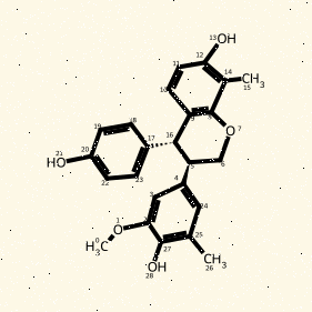 COc1cc([C@@H]2COc3c(ccc(O)c3C)[C@H]2c2ccc(O)cc2)cc(C)c1O